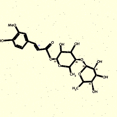 COc1cc(/C=C/C(=O)O[C@@H]2OC(C)[C@H](O[C@@H]3OC(C)[C@H](O)C(O)[C@@H]3O)C(O)C2O)ccc1O